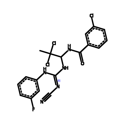 CC(Cl)(Cl)C(NC(=O)c1cccc(Cl)c1)N/C(=N/C#N)Nc1cccc(F)c1